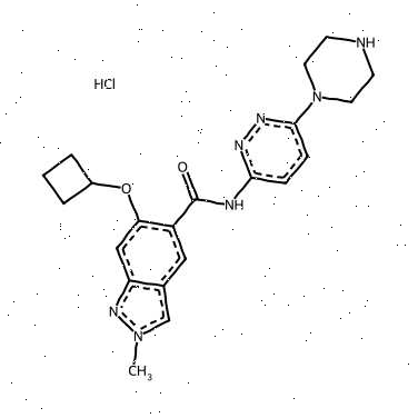 Cl.Cn1cc2cc(C(=O)Nc3ccc(N4CCNCC4)nn3)c(OC3CCC3)cc2n1